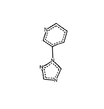 [c]1ncccc1-n1cncn1